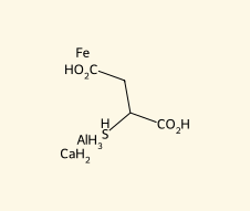 O=C(O)CC(S)C(=O)O.[AlH3].[CaH2].[Fe]